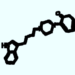 O=C1CC=CC=C1N1CCN(CCCCc2c[nH]c3ccccc23)CC1